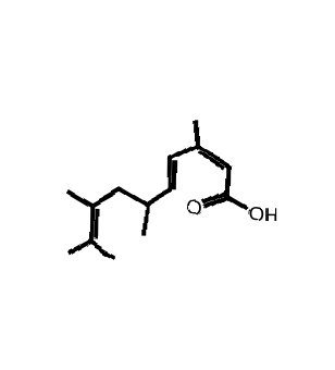 CC(C=CC(C)CC(C)=C(C)C)=CC(=O)O